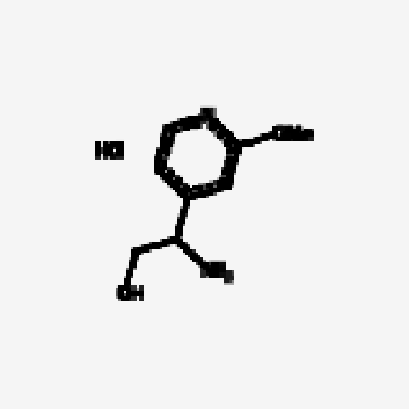 COc1cc(C(N)CO)ccn1.Cl